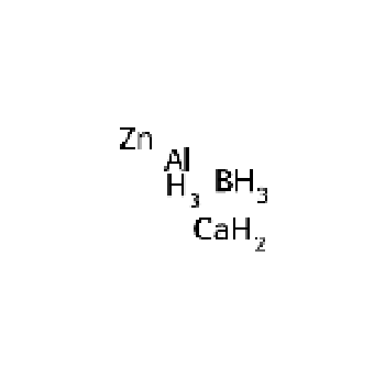 B.[AlH3].[CaH2].[Zn]